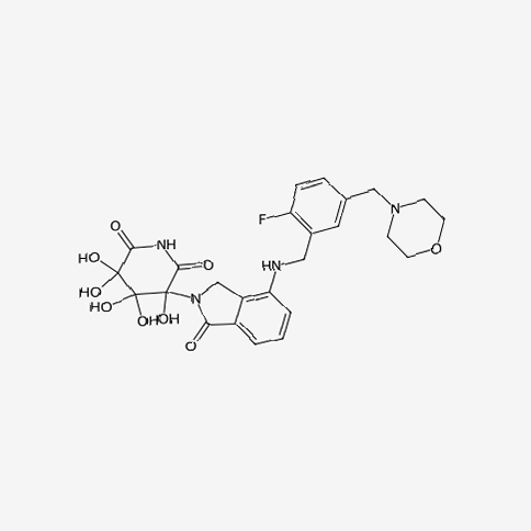 O=C1c2cccc(NCc3cc(CN4CCOCC4)ccc3F)c2CN1C1(O)C(=O)NC(=O)C(O)(O)C1(O)O